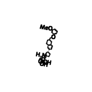 COc1cccc(OCC2CCc3cc([C@@H]4CC[C@](N)(COP(=O)(O)O)C4)ccc3C2)c1